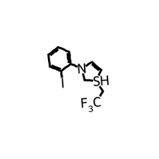 FC(F)(F)C[SH]1C=CN(c2ccccc2I)C1